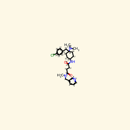 CN(Cc1cccnc1)C(=O)CCC(=O)NC1CCC(Cc2ccc(Cl)cc2)(N(C)C)CC1